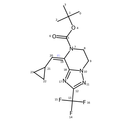 CC(C)(C)OC(=O)N1CCn2nc(C(F)(F)F)nc2/C1=C\C1CC1